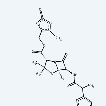 Cc1oc(=O)oc1COC(=O)[C@@H]1N2C(=O)[C@@H](NC(=O)C(N)c3ccccc3)[C@H]2SC1(C)C